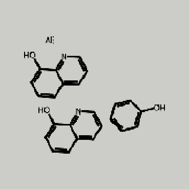 Oc1cccc2cccnc12.Oc1cccc2cccnc12.Oc1ccccc1.[Al]